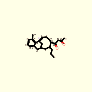 CCCC1CC2C/C(=C\CCC1C(=O)CC(C)=O)c1c(C)cccc1C2